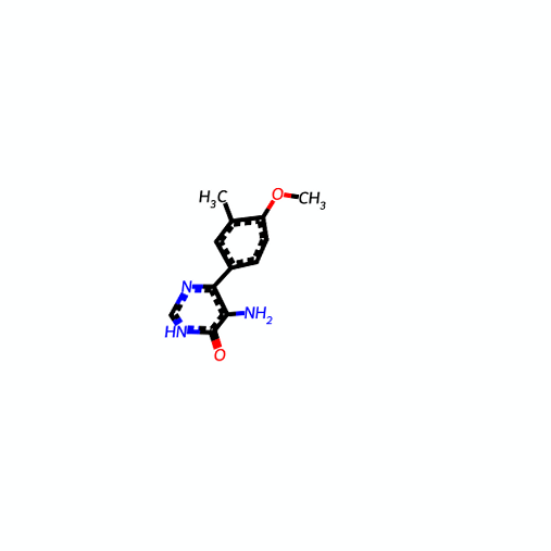 COc1ccc(-c2nc[nH]c(=O)c2N)cc1C